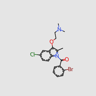 Cc1c(OCCN(C)C)c2cc(Cl)ccc2n1C(=O)c1ccccc1Br